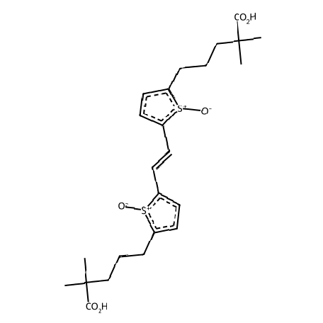 CC(C)(CCCc1ccc(C=Cc2ccc(CCCC(C)(C)C(=O)O)[s+]2[O-])[s+]1[O-])C(=O)O